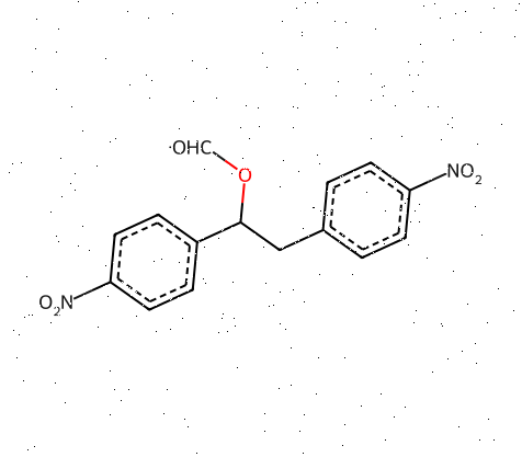 O=[C]OC(Cc1ccc([N+](=O)[O-])cc1)c1ccc([N+](=O)[O-])cc1